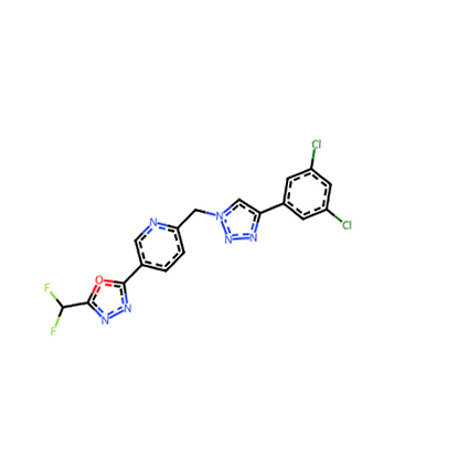 FC(F)c1nnc(-c2ccc(Cn3cc(-c4cc(Cl)cc(Cl)c4)nn3)nc2)o1